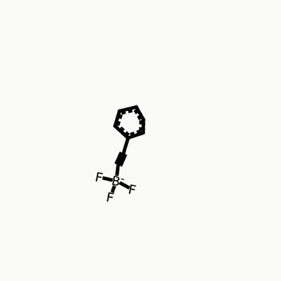 F[B-](F)(F)C#Cc1ccccc1